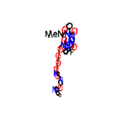 CN[C@@H](C)C(=O)N[C@H](C(=O)N1CCN(C(=O)c2c(F)c3ccccc3n2CC(=O)N(C)CCOCCOCCOCCOc2cc(CN3CCC(Oc4ccnc5ccsc45)CC3)on2)CC1)C1CCCCC1